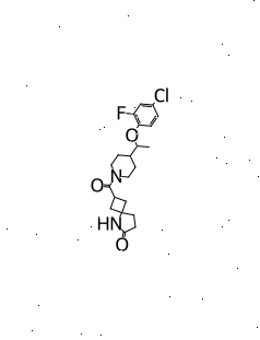 CC(Oc1ccc(Cl)cc1F)C1CCN(C(=O)C2CC3(CCC(=O)N3)C2)CC1